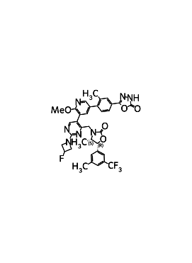 COc1ncc(-c2ccc(-c3n[nH]c(=O)o3)cc2C)cc1-c1cnc(N2CC(F)C2)nc1CN1C(=O)O[C@H](c2cc(C)cc(C(F)(F)F)c2)[C@@H]1C